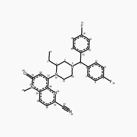 CCC1CN(C(c2ccc(F)cc2)c2ccc(F)cc2)CCN1c1cc(=O)n(C)c2ccc(C#N)nc12